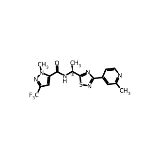 Cc1cc(-c2nsc([C@H](C)NC(=O)c3cc(C(F)(F)F)nn3C)n2)ccn1